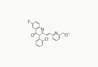 COCc1cccc(C=CC2=Nc3ccc(F)cc3C(=O)C2c2ccccc2Cl)n1